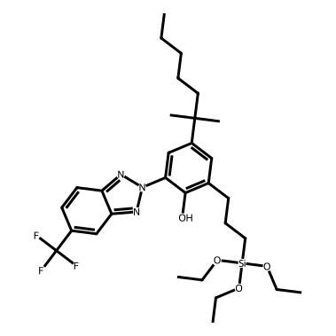 CCCCCC(C)(C)c1cc(CCC[Si](OCC)(OCC)OCC)c(O)c(-n2nc3ccc(C(F)(F)F)cc3n2)c1